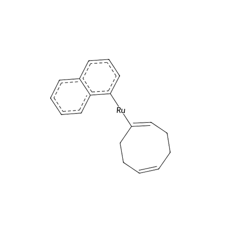 C1=CCC[C]([Ru][c]2cccc3ccccc23)=CCC1